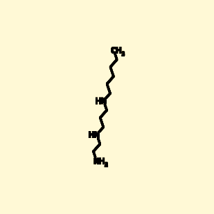 CCCCCCNCCCNCCN